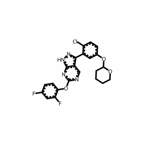 Fc1ccc(Oc2ncc3c(-c4cc(OC5CCCCO5)ccc4Cl)n[nH]c3n2)c(F)c1